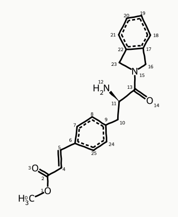 COC(=O)/C=C/c1ccc(C[C@@H](N)C(=O)N2Cc3ccccc3C2)cc1